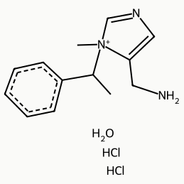 CC(c1ccccc1)[N+]1(C)C=NC=C1CN.Cl.Cl.O